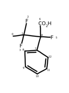 CC(F)(F)C(F)(C(=O)O)c1ccccc1